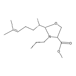 CCCN1C(C(=O)OC)COC1C(C)CCC=C(C)C